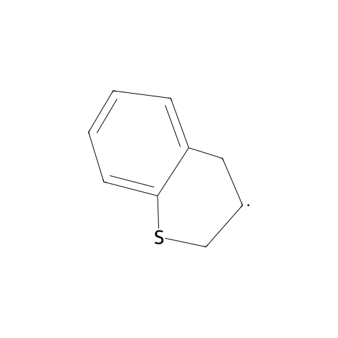 [CH]1CSc2ccccc2C1